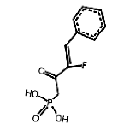 O=C(CP(=O)(O)O)/C(F)=C/c1ccccc1